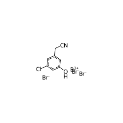 N#CCc1cc(O)cc(Cl)c1.[B+3].[Br-].[Br-].[Br-]